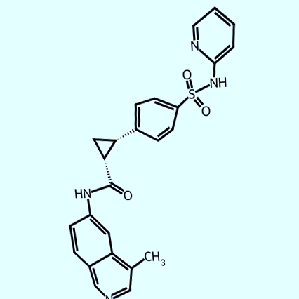 Cc1cncc2ccc(NC(=O)[C@@H]3C[C@@H]3c3ccc(S(=O)(=O)Nc4ccccn4)cc3)cc12